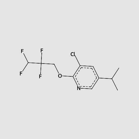 CC(C)c1cnc(OCC(F)(F)C(F)F)c(Cl)c1